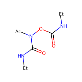 CCNC(=O)ON(C(C)=O)C(=O)NCC